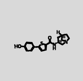 O=C(N[C@@H]1C[C@@H]2CCN(C2)C1)c1ccc(-c2ccc(O)cc2)s1